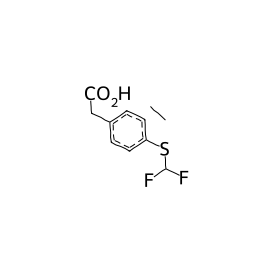 CC.O=C(O)Cc1ccc(SC(F)F)cc1